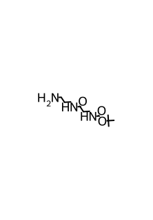 CC(C)(C)OC(=O)NCCC(=O)NCCCN